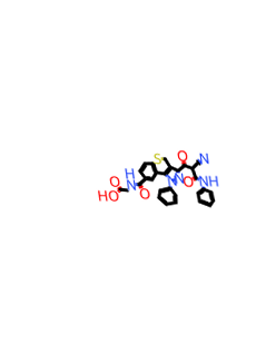 N#CC(C(=O)Nc1ccccc1)C(=O)c1nn(-c2ccccc2)c2c1CSc1ccc(C(=O)NCC(=O)O)cc1-2